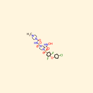 CN1CCN(C(=O)NS(=O)(=O)N2CCN(S(=O)(=O)c3cc(F)c(Oc4ccc(Cl)cc4)c(F)c3)[C@@H](C(=O)NO)C2)CC1